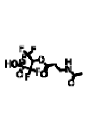 CC(=O)NCCC(=O)OC(C(F)(F)F)C(F)(F)S(=O)(=O)O